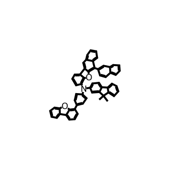 CC1(C)c2ccccc2-c2ccc(N(c3ccc(-c4cccc5c4oc4ccccc45)cc3)c3cccc4c3oc3c(-c5ccc6ccccc6c5)c5ccccc5cc34)cc21